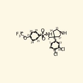 O=S(=O)(NCC1(c2ccc(Cl)c(Cl)c2)CCNC1)c1ccc(OC(F)(F)F)cc1